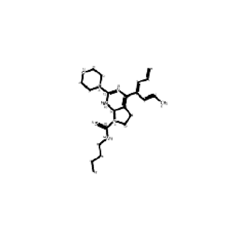 C=C/C=C(\C=C\O)C1=C2CCN(C(=S)NCCCC)C2NC(N2CCOCC2)=N1